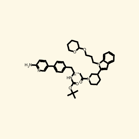 CC(C)(C)OC(=O)N[C@@H](CC(=O)N1CCCC(c2cc3ccccc3n2CCCOC2CCCCO2)C1)Cc1ccc(-c2ccc(N)nc2)cc1